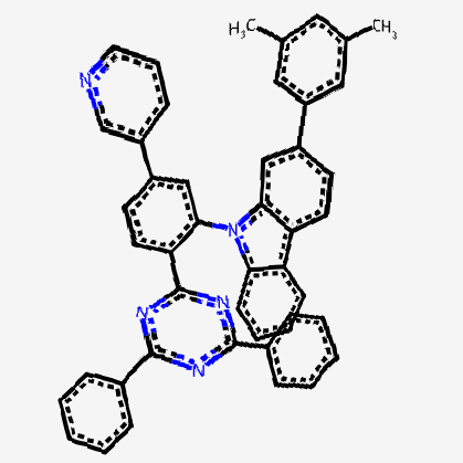 Cc1cc(C)cc(-c2ccc3c4ccccc4n(-c4cc(-c5cccnc5)ccc4-c4nc(-c5ccccc5)nc(-c5ccccc5)n4)c3c2)c1